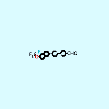 O=C[C@H]1CC[C@H]([C@H]2CC[C@H](c3ccc4c(F)c(OC(F)(F)F)ccc4c3)CC2)CC1